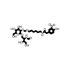 O=CNC(COC1OC(CO)C(O)C(O)C1OCOCCCCCCNC(=O)Cc1ccc(O)c([N+](=O)[O-])c1)C(O)CO